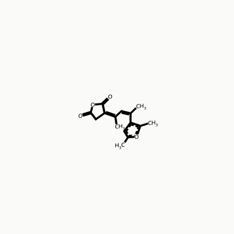 CC(=CC(C)=C1CC(=O)OC1=O)c1cc(C)oc1C